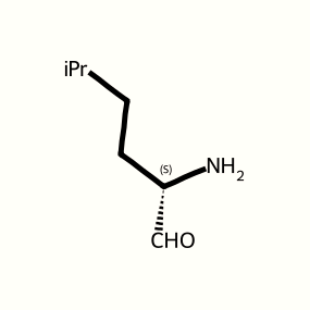 CC(C)CC[C@H](N)C=O